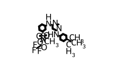 CN(OC(=O)C(F)(F)F)S(=O)(=O)c1cccc(Nc2cc(Nc3ccc(C(C)(C)C)cc3)ncn2)c1